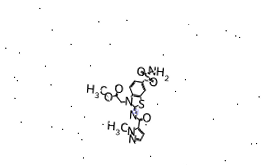 COC(=O)Cn1/c(=N/C(=O)c2ccnn2C)sc2cc(S(N)(=O)=O)ccc21